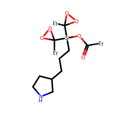 CCC(=O)O[Si](CCCC1CCNC1)(C1(CC)OO1)C1(CC)OO1